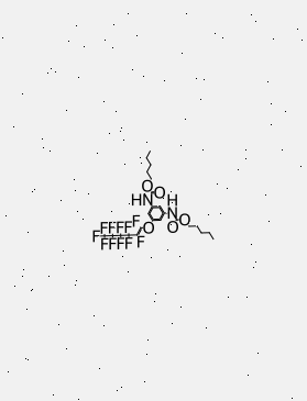 CCCCCOC(=O)Nc1cc(NC(=O)OCCCCC)cc(OC(F)=C(F)C(F)(F)C(F)(F)C(F)(F)C(F)(F)F)c1